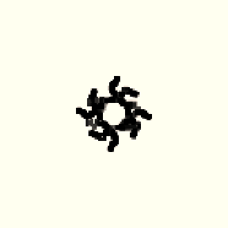 CC[N+]1(OC)[SiH2][N+](CC)(OC)[SiH2][N+](CC)(OC)[SiH2][N+](CC)(OC)[SiH2]1